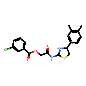 Cc1ccc(C2CSC(NC(=O)COC(=O)c3cccc(Cl)c3)N2)cc1C